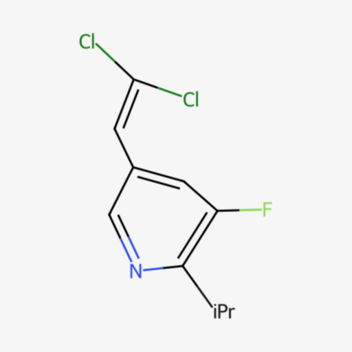 CC(C)c1ncc(C=C(Cl)Cl)cc1F